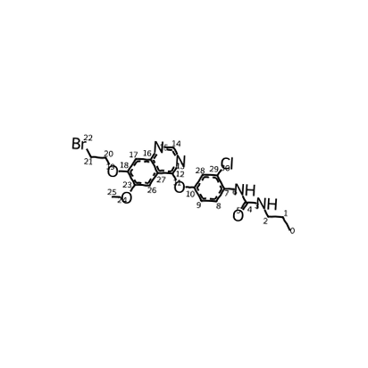 CCCNC(=O)Nc1ccc(Oc2ncnc3cc(OCCBr)c(OC)cc23)cc1Cl